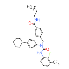 O=C(O)CCNC(=O)c1ccc(CN(C(=O)Nc2cccc(C(F)(F)F)c2F)c2ccc(C3CCCCC3)cc2)cc1